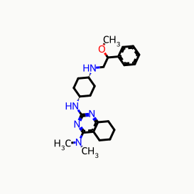 COC(CN[C@H]1CC[C@@H](Nc2nc3c(c(N(C)C)n2)CCCC3)CC1)c1ccccc1